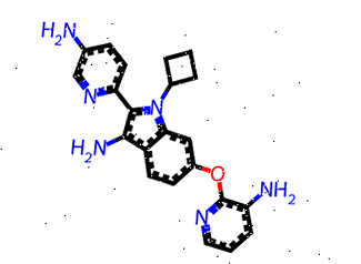 Nc1ccc(-c2c(N)c3ccc(Oc4ncccc4N)cc3n2C2CCC2)nc1